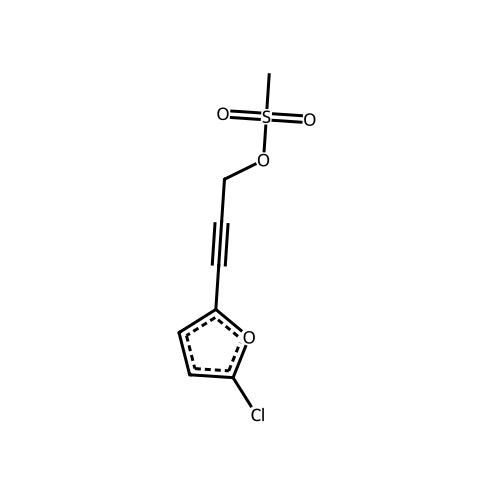 CS(=O)(=O)OCC#Cc1ccc(Cl)o1